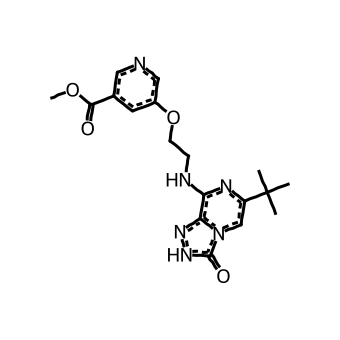 COC(=O)c1cncc(OCCNc2nc(C(C)(C)C)cn3c(=O)[nH]nc23)c1